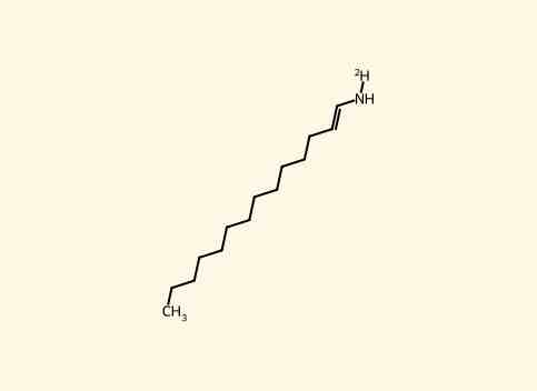 [2H]NC=CCCCCCCCCCCCC